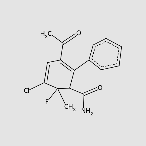 CC(=O)C1=C(c2ccccc2)C(C(N)=O)C(C)(F)C(Cl)=C1